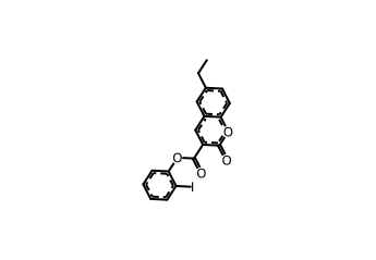 CCc1ccc2oc(=O)c(C(=O)Oc3ccccc3I)cc2c1